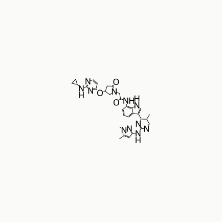 Cc1cnc(Nc2cc(C)n(C)n2)nc1-c1c[nH]c2c(NC(=O)CN3CC(Oc4ccnc(NC5CC5)n4)CC3=O)cccc12